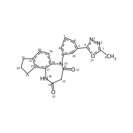 Cc1nnc(-c2cccc(N3C(=O)CC(=O)Nc4c3ccc3c4CCC3)c2)o1